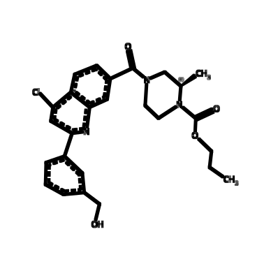 CCCOC(=O)N1CCN(C(=O)c2ccc3c(Cl)cc(-c4cccc(CO)c4)nc3c2)C[C@H]1C